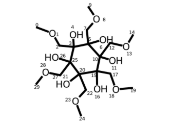 COCC1(O)C(O)(COC)C(O)(COC)C(O)(COC)C(O)(COC)C1(O)COC